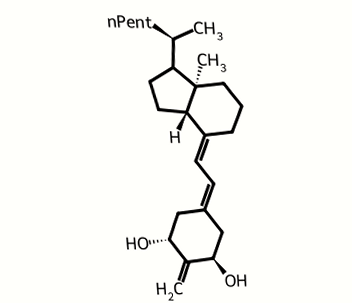 C=C1[C@H](O)CC(=C/C=C2\CCC[C@]3(C)C([C@H](C)CCCCC)CC[C@@H]23)C[C@H]1O